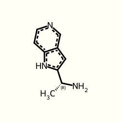 C[C@@H](N)c1cc2cnccc2[nH]1